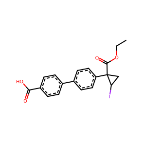 CCOC(=O)C1(c2ccc(-c3ccc(C(=O)O)cc3)cc2)CC1I